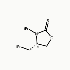 CC(C)C[C@H]1COC(=S)N1C(C)C